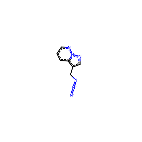 [N-]=[N+]=NCc1cnn2ncccc12